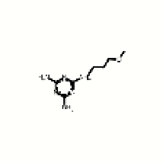 CCCCOC.Nc1nc(N)nc(N)n1